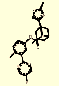 Cc1nnc(C23CC(C)CC(C2)N3C(=O)Nc2ccc(C)c(-c3ncc(F)cn3)c2)o1